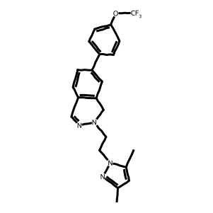 Cc1cc(C)n(CCN2Cc3cc(-c4ccc(OC(F)(F)F)cc4)ccc3C=N2)n1